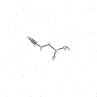 C[S+]([O-])CSC#N